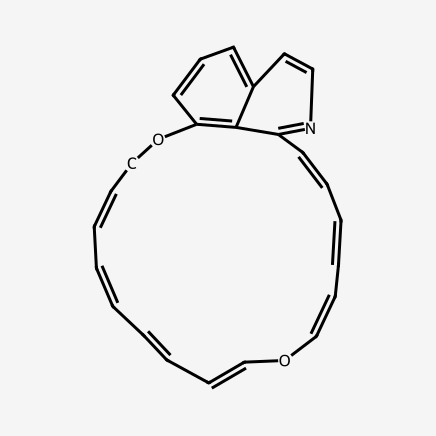 C1=CC=CCOc2cccc3ccnc(c23)C=CC=CC=COC=CC=C1